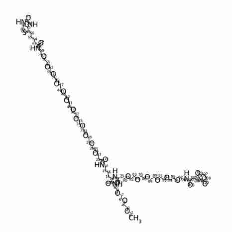 CCOCCOCCOCCNC(=O)C(CCCCNC(=O)CCOCCOCCOCCOCCOCCOCCOCCOCCOCCOCCOCCOCCNC(=O)CCCCC1SCC2NC(=O)NC21)NC(=O)CCOCCOCCOCCOCCOCCOCCNC(=O)CCN1C(=O)C=CC1=O